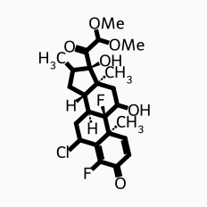 COC(OC)C(=O)[C@@]1(O)C(C)C[C@H]2[C@@H]3CC(Cl)C4=C(F)C(=O)C=C[C@]4(C)[C@@]3(F)C(O)C[C@@]21C